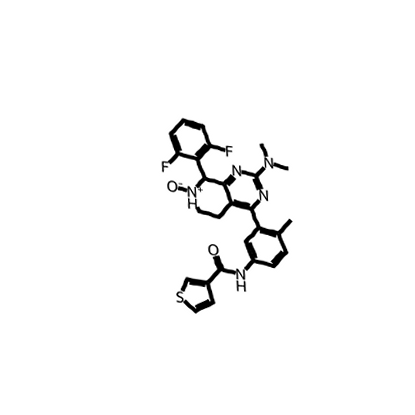 Cc1ccc(NC(=O)c2ccsc2)cc1-c1nc(N(C)C)nc2c1CC[NH+]([O-])C2c1c(F)cccc1F